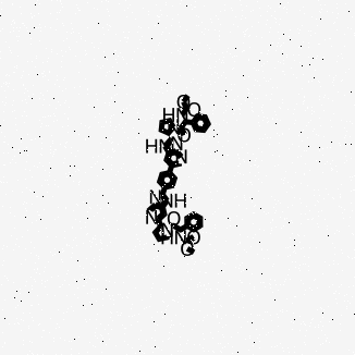 COC(=O)N[C@@H](C(=O)N1CCCC1c1cc2[nH]c(-c3ccc(-c4cnc5nc([C@@H]6CCCN6C(=O)[C@H](NC(=O)OC)c6ccccc6)[nH]c5c4)cc3)nc2cn1)c1ccccc1